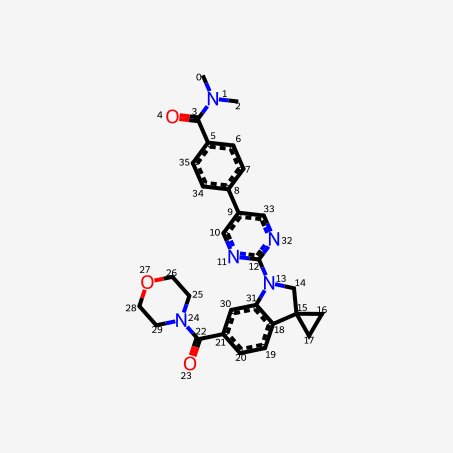 CN(C)C(=O)c1ccc(-c2cnc(N3CC4(CC4)c4ccc(C(=O)N5CCOCC5)cc43)nc2)cc1